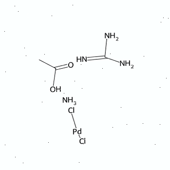 CC(=O)O.N.N=C(N)N.[Cl][Pd][Cl]